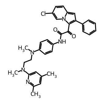 Cc1cc(C)nc(N(C)CCN(C)c2ccc(NC(=O)C(=O)c3c(-c4ccccc4)cc4ccc(Cl)cn34)cc2)c1